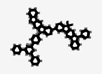 CC1(C)c2ccc(-c3ccc4c(c3)c3cc5c(cc3n4-c3ccc(-c4nc(-c6ccccc6)cc(-c6ccccc6)n4)cc3)oc3ccccc35)cc2-c2cc3c4ccccc4n(-c4ccccc4)c3cc21